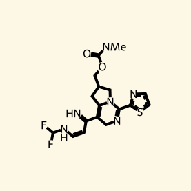 CNC(=O)OCC1CC2=C(C(=N)/C=C\NC(F)F)CN=C(c3nccs3)N2C1